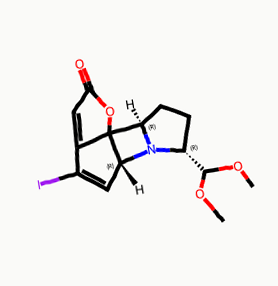 COC(OC)[C@H]1CC[C@H]2N1[C@@H]1C=C(I)C3=CC(=O)OC312